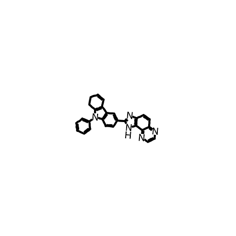 C1=Cc2c(n(-c3ccccc3)c3ccc(-c4nc5ccc6nccnc6c5[nH]4)cc23)CC1